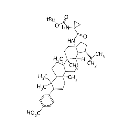 C=C(C)[C@@H]1CC[C@]2(NC(=O)C3(NC(=O)OC(C)(C)C)CC3)CC[C@]3(C)[C@H](CCC4[C@@]5(C)CC=C(c6ccc(C(=O)O)cc6)C(C)(C)C5CC[C@]43C)C12